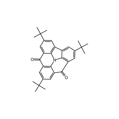 CC(C)(C)c1cc2c(=O)c3cc(C(C)(C)C)cc4c5cc(C(C)(C)C)cc6c(=O)c(c1)c2n(c34)c65